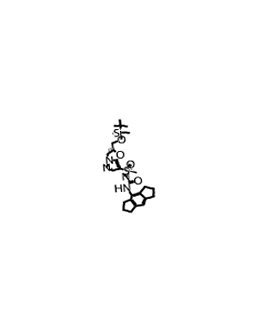 CC(C)(C)[Si](C)(C)OC[C@@H]1Cn2ncc([S@](C)(=O)=NC(=O)Nc3c4c(cc5c3CCC5)CCC4)c2O1